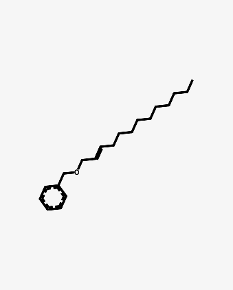 CCCCCCCCCCC=CCOCc1ccccc1